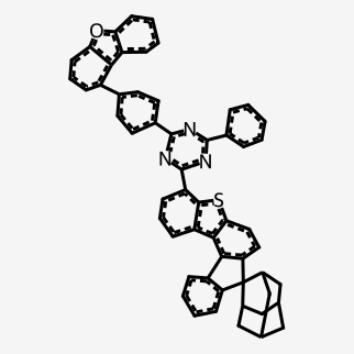 c1ccc(-c2nc(-c3ccc(-c4cccc5oc6ccccc6c45)cc3)nc(-c3cccc4c3sc3ccc5c(c34)-c3ccccc3C53C4CC5CC(C4)CC3C5)n2)cc1